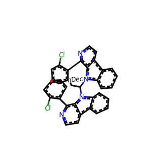 CCCCCCCCCCCC(n1c2ccccc2c2ccnc(-c3ccccc3Cl)c21)n1c2ccccc2c2ccnc(-c3ccccc3Cl)c21